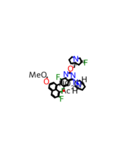 COCOc1cc(-c2c(C(C)=O)cc3c(N4C[C@H]5CC[C@@H](C4)N5C(=O)O)nc(OC[C@@]45CCCN4C[C@H](F)C5)nc3c2F)c2c(F)c(F)ccc2c1